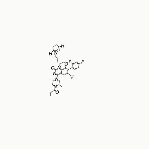 C=CC(=O)N1C[C@H](C)N(c2nc(=O)n3c4c(c(-c5ccc(F)cc5F)c(C5CC5)cc24)OC[C@H]3CCCN2C[C@H]3CC[C@@H]2C3)C[C@H]1C